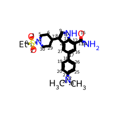 CCS(=O)(=O)N1CCC(c2c[nH]c3c(C(N)=O)cc(-c4ccc(N(C)C)cc4)cc23)CC1